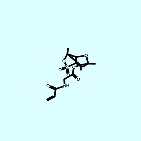 C=CC(=O)NCC(=O)OC1(C)C2(C)CC3C(O2)C1(C)OS3(=O)=O